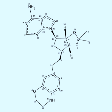 CC1(C)O[C@@H]2[C@@H](CCc3cnc4c(c3)OCCN4)C[C@@H](n3ccc4c(N)ncnc43)[C@@H]2O1